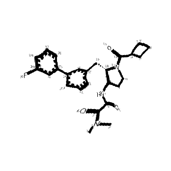 CN(C)C(=O)C(=O)NC1CCN(C(=O)C2CCC2)[C@H]1Cc1cccc(-c2cccc(F)c2)c1